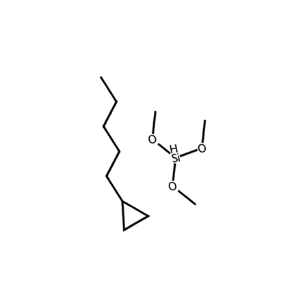 CCCCCC1CC1.CO[SiH](OC)OC